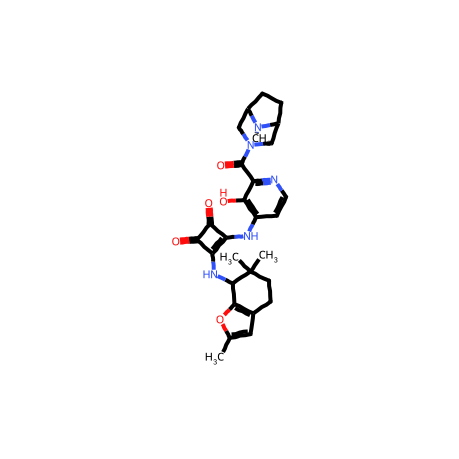 Cc1cc2c(o1)C(Nc1c(Nc3ccnc(C(=O)N4CC5CCC(C4)N5C)c3O)c(=O)c1=O)C(C)(C)CC2